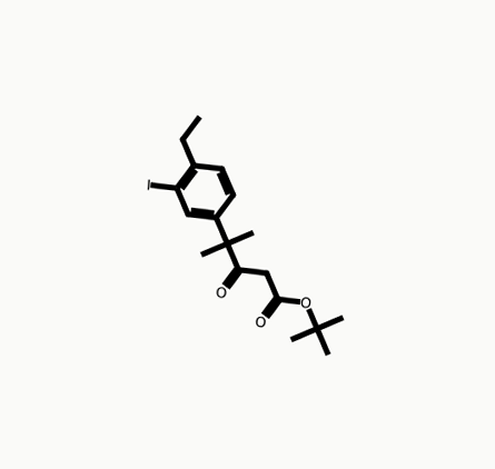 CCc1ccc(C(C)(C)C(=O)CC(=O)OC(C)(C)C)cc1I